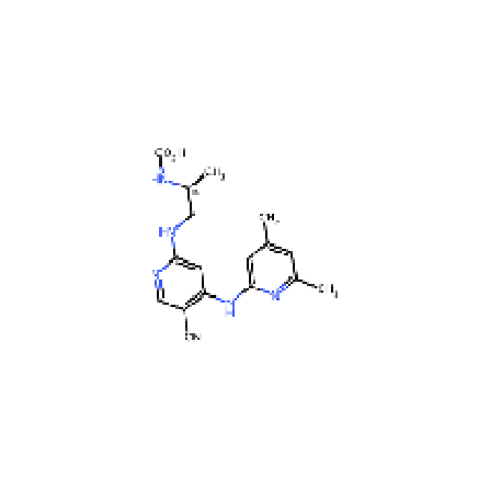 Cc1cc(C)nc(Nc2cc(NC[C@H](C)NC(=O)O)ncc2C#N)c1